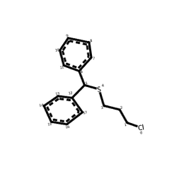 ClCCCSC(c1ccccc1)c1ccccc1